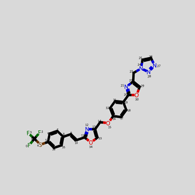 FC(F)(F)Sc1ccc(/C=C/c2nc(COc3ccc(-c4nc(Cn5ccnn5)co4)cc3)co2)cc1